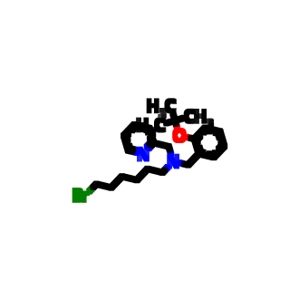 CC(C)(C)Oc1ccccc1CN(CCCCCCBr)Cc1ccccn1